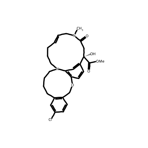 COC(=O)[C@]1(O)CC(=O)N(C)C/C=C/CCCN2CCCCc3cc(Cl)ccc3COc3ccc1cc32